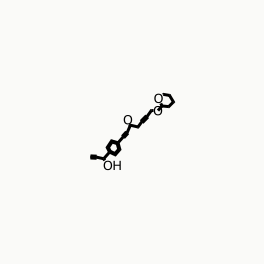 C#CC(O)c1ccc(C#CC(=O)CC#CCOC2CCCCO2)cc1